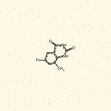 Cc1cc(F)cc2c(=O)[nH]c(=O)[nH]c12